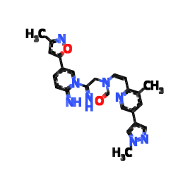 Cc1cc(-c2ccc(=N)n(C(=N)CN(C=O)/C=C\c3ncc(-c4cnn(C)c4)cc3C)c2)on1